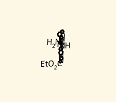 CCOC(=O)CN1CCN(C2CCc3ccc(Nc4nc(N)n(-c5cc6c(nn5)-c5ccccc5CCC6)n4)cc3CC2)CC1